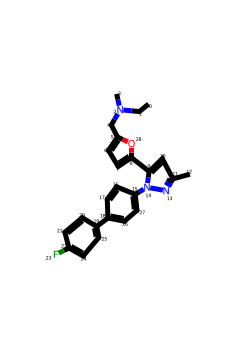 CCN(C)Cc1ccc(-c2cc(C)nn2-c2ccc(-c3ccc(F)cc3)cc2)o1